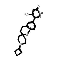 Cc1cc(=O)[nH]nc1-c1ccc2c(c1)CCC1(CCN(C3CCC3)CC1)O2